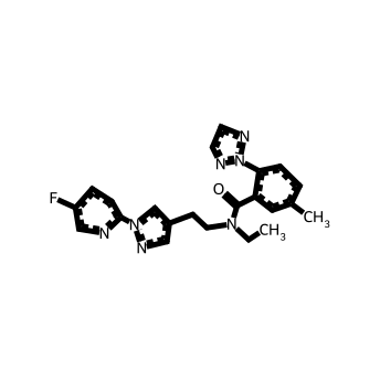 CCN(CCc1cnn(-c2ccc(F)cn2)c1)C(=O)c1cc(C)ccc1-n1nccn1